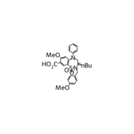 CCCC[C@@H]1CN(c2ccccc2)c2cc(OC)c(C(=O)O)cc2S(=O)(=O)N1Cc1ccc(OC)cc1